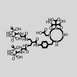 O=C(O)CN1CCN(C(C(=O)O)(C(=O)O)C(=O)O)CCNCCNC(Cc2ccc(NC(=O)C(CNC(=O)CNC(P(=O)(O)O)P(=O)(O)O)CNC(=O)CNC(P(=O)(O)O)P(=O)(O)O)cc2)C1